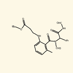 CCCC(C(=O)NC=O)N(C=O)C(=O)c1c(C)cccc1NCCC(=O)OC(C)(C)C